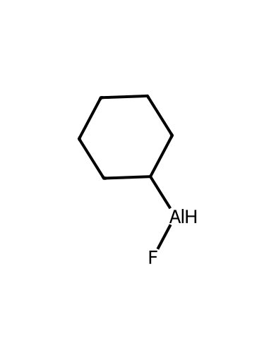 [F][AlH][CH]1CCCCC1